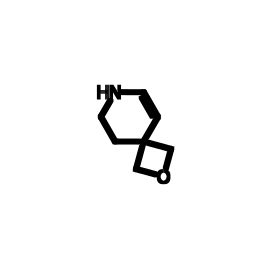 C1=CC2(CCN1)COC2